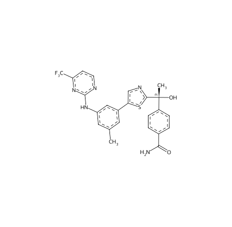 Cc1cc(Nc2nccc(C(F)(F)F)n2)cc(-c2cnc([C@](C)(O)c3ccc(C(N)=O)cc3)s2)c1